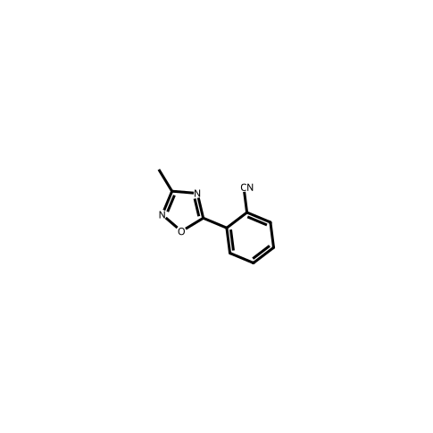 Cc1noc(-c2ccccc2C#N)n1